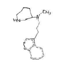 CN(CCCc1csc2ccccc12)C1CCCNC1